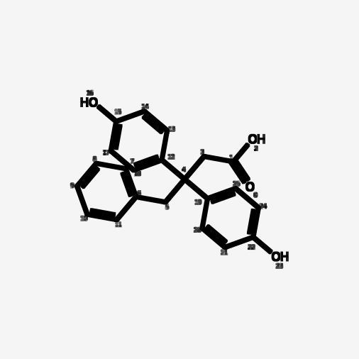 O=C(O)CC(Cc1ccccc1)(c1ccc(O)cc1)c1ccc(O)cc1